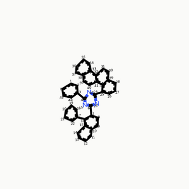 c1ccc(-c2nc(-c3ccc4ccccc4c3-c3ccccc3)nc(-c3cccc4ccc5c6ccccc6ccc5c34)n2)cc1